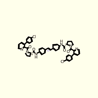 O=C(Nc1ccc(/C=C/c2ccc(NC(=O)[C@@H]3CCCN3C(=O)c3ncccc3-c3ccc(Cl)cc3)cc2)cc1)[C@@H]1CCCN1C(=O)c1ncccc1-c1ccc(Cl)cc1